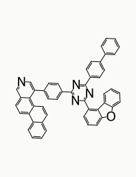 c1ccc(-c2ccc(-c3nc(-c4ccc(-c5cncc6ccc7c8ccccc8ccc7c56)cc4)nc(-c4cccc5oc6ccccc6c45)n3)cc2)cc1